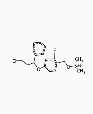 C[SiH](C)OCc1ccc(OC(CCCl)c2ccccc2)cc1F